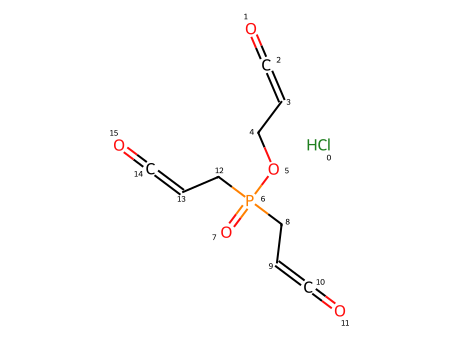 Cl.O=C=CCOP(=O)(CC=C=O)CC=C=O